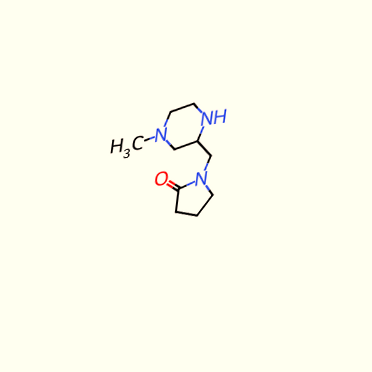 CN1CCNC(CN2CCCC2=O)C1